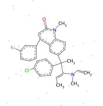 C=CN(C)/C(=C\C)C(C)(c1ccc(Cl)cc1)c1ccc2c(c1)c(-c1cccc(I)c1)cc(=O)n2C